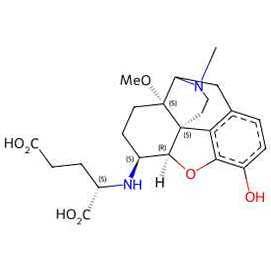 CO[C@@]12CC[C@H](N[C@@H](CCC(=O)O)C(=O)O)[C@@H]3Oc4c(O)ccc5c4[C@@]31CCN(C)C2C5